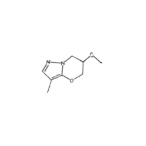 COC1COc2c(C)cnn2C1